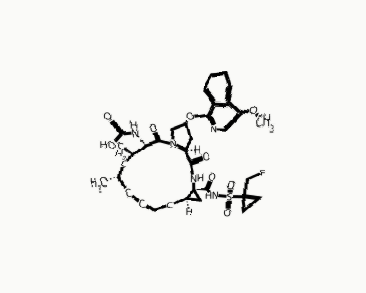 COc1cnc(O[C@@H]2C[C@H]3C(=O)N[C@]4(C(=O)NS(=O)(=O)C5(CF)CC5)C[C@H]4CCCC[C@H](C)C[C@@H](C)[C@H](NC(=O)O)C(=O)N3C2)c2ccccc12